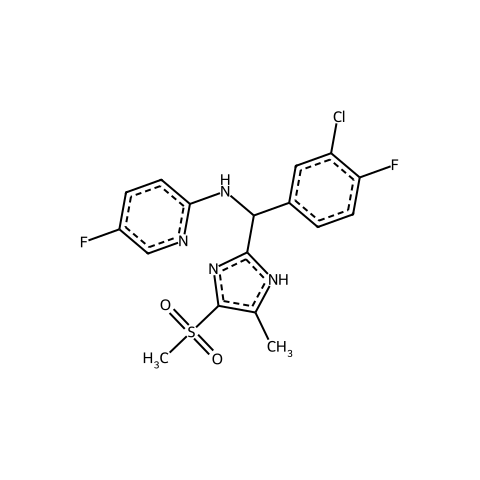 Cc1[nH]c(C(Nc2ccc(F)cn2)c2ccc(F)c(Cl)c2)nc1S(C)(=O)=O